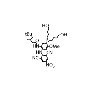 COc1cc(Nc2c(C#N)cc([N+](=O)[O-])cc2C#N)c(NC(=O)CC(C)CC(C)(C)C)cc1N(CCCCO)CCCCO